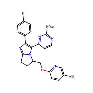 CNc1nccc(-c2c(-c3ccc(F)cc3)nc3n2C(COc2ccc(C(F)(F)F)cn2)CC3)n1